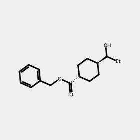 CCC(O)[C@H]1CC[C@H](C(=O)OCc2ccccc2)CC1